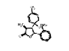 C=C1C(=O)O[C@H](c2ccccc2OC)[C@@H]1C1(C)C=CC(C(F)(F)F)=CC1